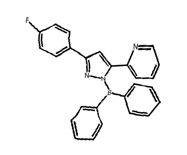 Fc1ccc(-c2cc(-c3ccccn3)n(B(c3ccccc3)c3ccccc3)n2)cc1